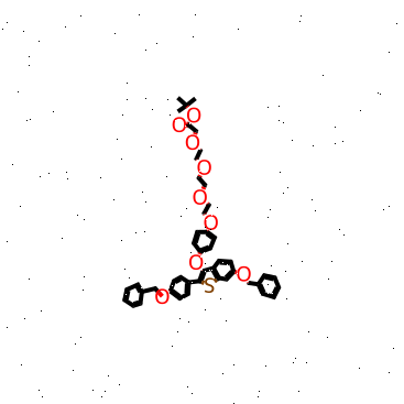 CC(C)(C)OC(=O)COCCOCCOCCOc1ccc(Oc2c(-c3ccc(OCc4ccccc4)cc3)sc3cc(OCc4ccccc4)ccc23)cc1